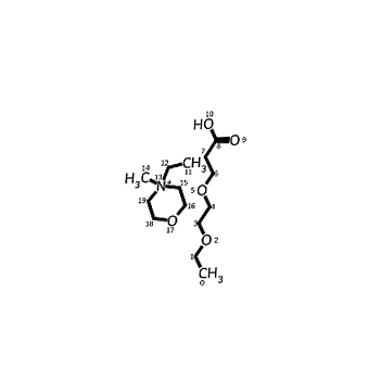 CCOCCOCCC(=O)O.CC[N+]1(C)CCOCC1